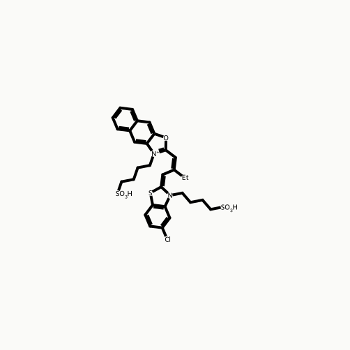 CCC(=Cc1oc2cc3ccccc3cc2[n+]1CCCCS(=O)(=O)O)C=C1Sc2ccc(Cl)cc2N1CCCCS(=O)(=O)O